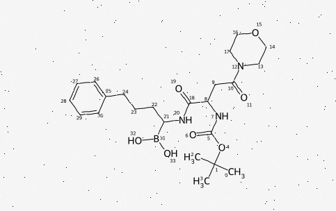 CC(C)(C)OC(=O)NC(CC(=O)N1CCOCC1)C(=O)NC(CCCc1ccccc1)B(O)O